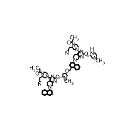 C=CC(=O)N1CCN(c2nc(OC[C@@H]3C[C@H](OCc4ccc(N5CCc6c(nc(OC[C@@H]7CN(C)CCN7)nc6N6CCN(C(=O)C=C)C(CC#N)C6)C5)c5ccccc45)CN3C)nc3c2CCN(c2cccc4ccccc24)C3)CC1CC#N